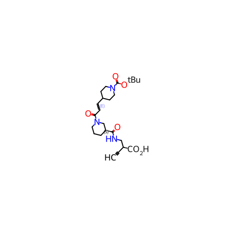 C#CC(CNC(=O)[C@H]1CCCN(C(=O)/C=C/C2CCN(C(=O)OC(C)(C)C)CC2)C1)C(=O)O